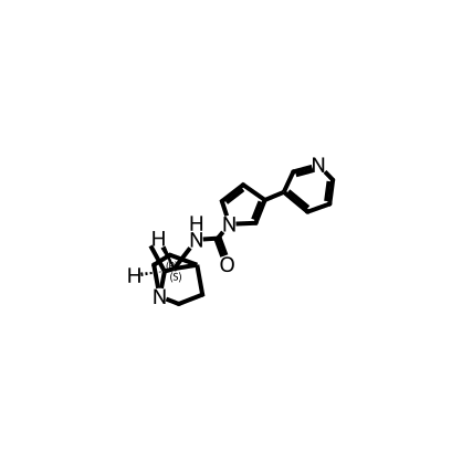 C[C@H]1[C@H](NC(=O)n2ccc(-c3cccnc3)c2)C2CCN1CC2